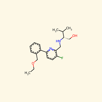 CCOCc1ccccc1-c1ccc(F)c(CN[C@@H](CO)C(C)C)n1